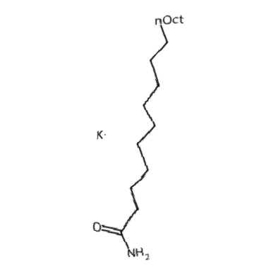 CCCCCCCCCCCCCCCCCC(N)=O.[K]